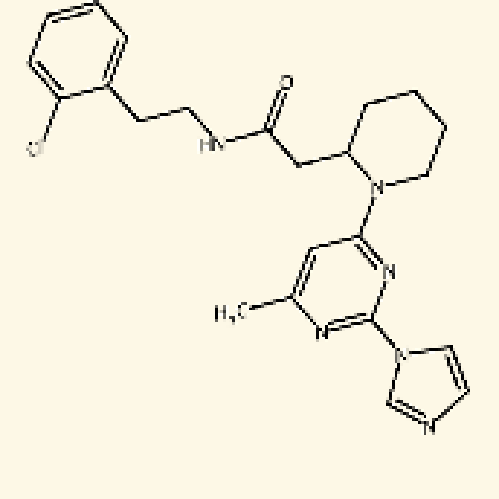 Cc1cc(N2CCCCC2CC(=O)NCCc2ccccc2Cl)nc(-n2ccnc2)n1